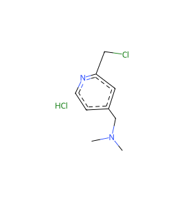 CN(C)Cc1ccnc(CCl)c1.Cl